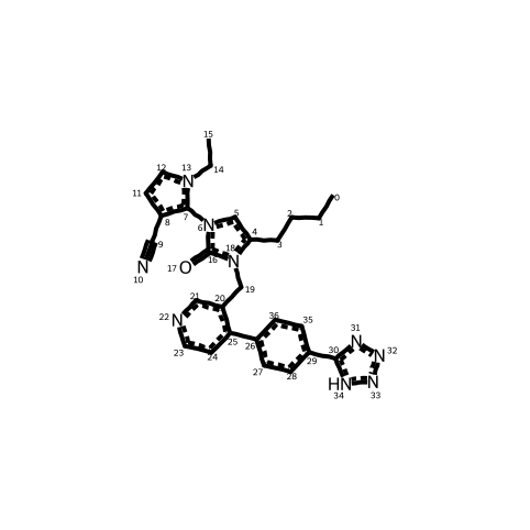 CCCCc1cn(-c2c(C#N)ccn2CC)c(=O)n1Cc1cnccc1-c1ccc(-c2nnn[nH]2)cc1